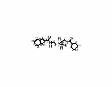 O=C(NCC[C@@H]1[C@H]2CN(C(=O)C3CCOCC3)C[C@@H]12)c1cc2ccncc2o1